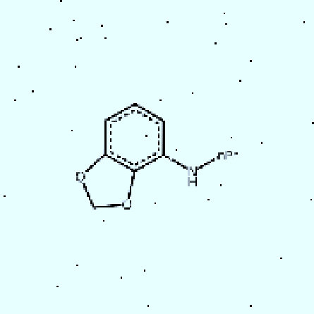 CCCNc1cccc2c1OCO2